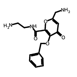 NCCNC(=O)c1oc(CN)cc(=O)c1OCc1ccccc1